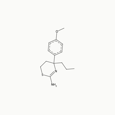 CCCC1(c2ccc(OC)cc2)CCSC(N)=N1